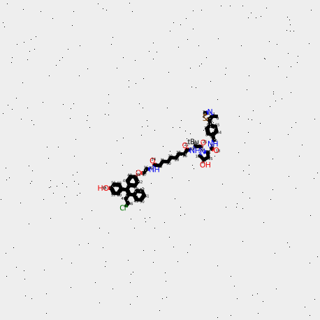 Cc1ncsc1-c1ccc(CNC(=O)[C@@H]2C[C@@H](O)CN2C(=O)[C@@H](NC(=O)CCCCCCCC(=O)NCCOc2ccc(C(=C(CCCl)c3ccccc3)c3ccc(O)cc3)cc2)C(C)(C)C)cc1